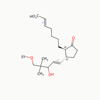 CCOCC(C)(C)C(O)/C=C/[C@H]1CCC(=O)[C@@H]1CCCC/C=C/C(=O)O